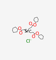 O=C(C[CH2][Sn+]([CH2]CC(=O)OC1CCCCC1)[CH2]CC(=O)OC1CCCCC1)OC1CCCCC1.[Cl-]